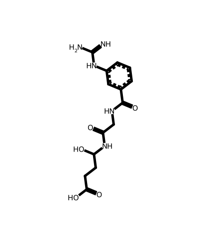 N=C(N)Nc1cccc(C(=O)NCC(=O)NC(O)CCC(=O)O)c1